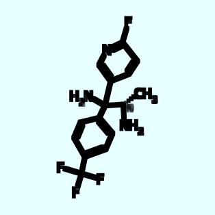 C[C@H](N)C(N)(c1ccc(C(F)(F)F)cc1)c1ccc(F)nc1